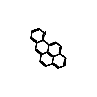 c1cnc2c(c1)cc1ccc3cccc4ccc2c1c34